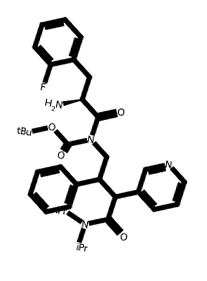 CC(C)N(C(=O)C(c1cccnc1)C(CN(C(=O)OC(C)(C)C)C(=O)[C@@H](N)Cc1ccccc1F)c1ccccc1)C(C)C